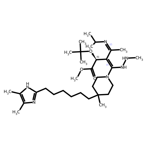 CNN/C(=C(\C(C)=N/C(C)C)[C@H](OC(C)(C)C)C(=O)OC)N1CCC(C)(CCCCCCc2nc(C)c(C)[nH]2)CC1